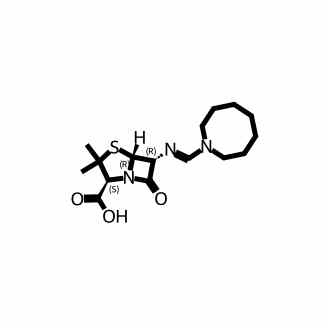 CC1(C)S[C@@H]2[C@H](N=CN3CCCCCCC3)C(=O)N2[C@H]1C(=O)O